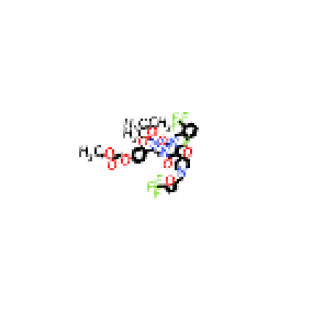 CCOC(=O)COc1ccc([C@H](Cn2c(=O)c3c(n(Cc4c(F)cccc4C(F)(F)F)c2=O)COC32CCN(Cc3ccc(C(F)(F)F)o3)CC2)NC(=O)OC(C)(C)C)cc1